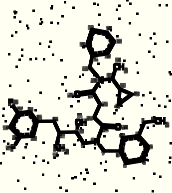 CCc1cccc(CN(C[C@@H](O)[C@@H](N)Cc2cc(F)cc(F)c2)C(=O)CCC(=O)N(Cc2ccccc2)C(C)C2CC2)c1